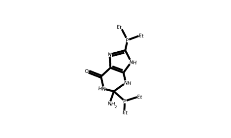 CCP(CC)c1nc2c([nH]1)NC(N)(P(CC)CC)NC2=O